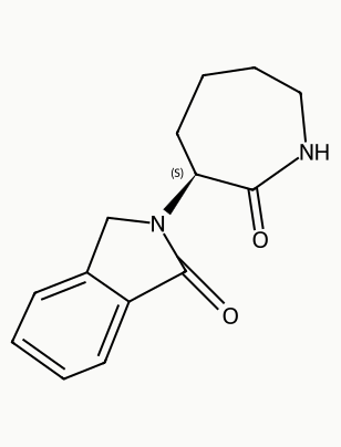 O=C1NCCCC[C@@H]1N1Cc2ccccc2C1=O